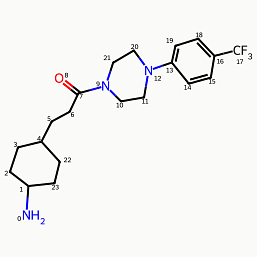 NC1CCC(CCC(=O)N2CCN(c3ccc(C(F)(F)F)cc3)CC2)CC1